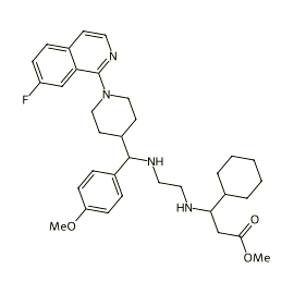 COC(=O)CC(NCCNC(c1ccc(OC)cc1)C1CCN(c2nccc3ccc(F)cc23)CC1)C1CCCCC1